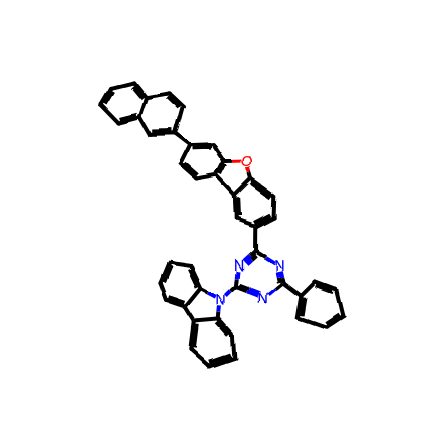 c1ccc(-c2nc(-c3ccc4oc5cc(-c6ccc7ccccc7c6)ccc5c4c3)nc(-n3c4ccccc4c4ccccc43)n2)cc1